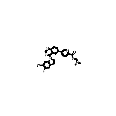 CN(C)/C=N/C(=O)c1ccc(-c2ccc3ncnc(N4CCc5cc(F)c(Cl)cc54)c3c2)cn1